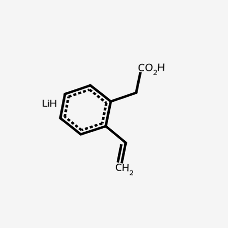 C=Cc1ccccc1CC(=O)O.[LiH]